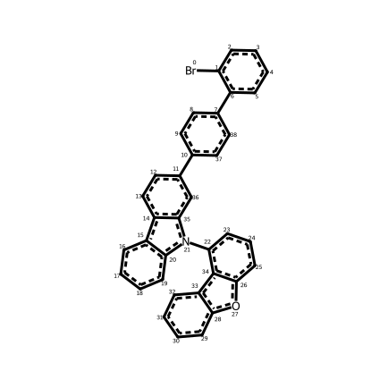 Brc1ccccc1-c1ccc(-c2ccc3c4ccccc4n(-c4cccc5oc6ccccc6c45)c3c2)cc1